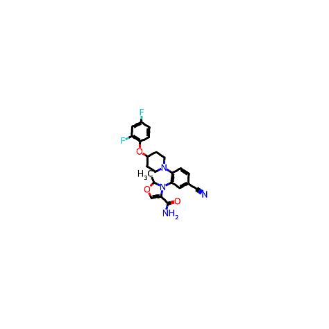 CC1OC=C(C(N)=O)N1c1cc(C#N)ccc1N1CCC(Oc2ccc(F)cc2F)CC1